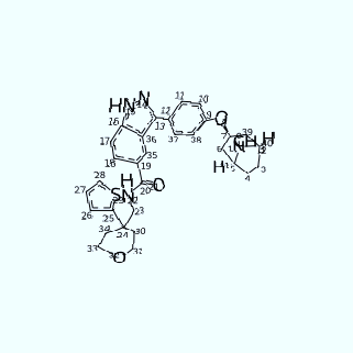 CN1[C@@H]2CC[C@H]1C[C@@H](Oc1ccc(-c3n[nH]c4ccc(C(=O)NCC5(c6cccs6)CCOCC5)cc34)cc1)C2